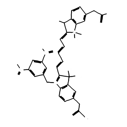 CC1C(=C/C=C/C=C/C2=[N+](Cc3cc([N+](=O)[O-])cc([N+](=O)[O-])c3)c3ccc(CC(=O)O)cc3C2(C)C)[N+](C)(C)c2cc(CC(=O)O)ccc21